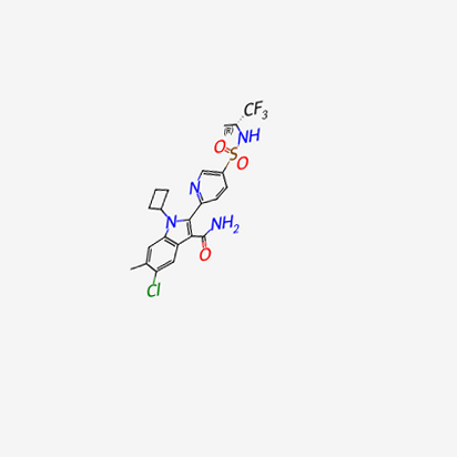 Cc1cc2c(cc1Cl)c(C(N)=O)c(-c1ccc(S(=O)(=O)N[C@H](C)C(F)(F)F)cn1)n2C1CCC1